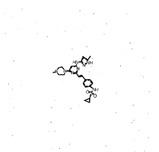 Cc1cc(Nc2cc(N3CCN(C)CC3)nc(/C=C/c3ccc(NS(=O)(=O)C4CC4)cc3)n2)n[nH]1